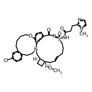 CO[C@H]1/C=C/CCCS(=O)(NC(=O)CCc2nccn2C)=NC(=O)c2ccc3c(c2)N(CCc2ccc(Cl)cc2CCCCO3)C[C@@H]2CC[C@H]21